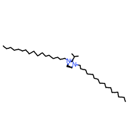 CCCCCCCCCCCCCCCCC[n+]1ccn(CCCCCCCCCCCCCCCC)c1C(C)C